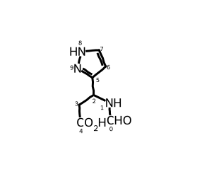 O=CNC(CC(=O)O)c1cc[nH]n1